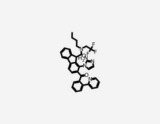 CCCCN(CC(F)(F)F)C(=O)C1c2ccccc2-c2ccc(C(=O)c3ccccc3-c3ccccn3)c(-n3ccnc3N)c21